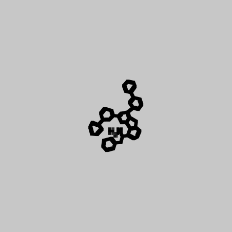 NC(Cc1ccccc1)c1cccc2c1-c1cc(-c3cccc(-c4ccccc4)c3)cc(-c3cccc(-c4ccccc4)c3)c1C2